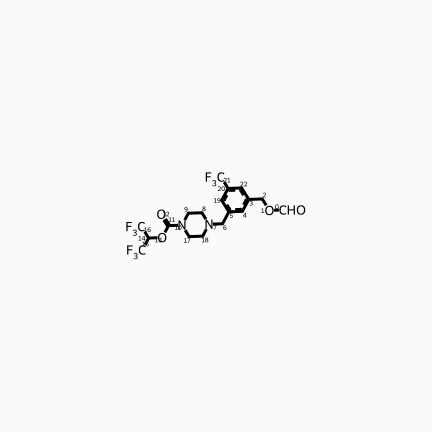 O=COCc1cc(CN2CCN(C(=O)OC(C(F)(F)F)C(F)(F)F)CC2)cc(C(F)(F)F)c1